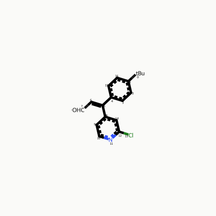 CC(C)(C)c1ccc(C(=C[C]=O)c2ccnc(Cl)c2)cc1